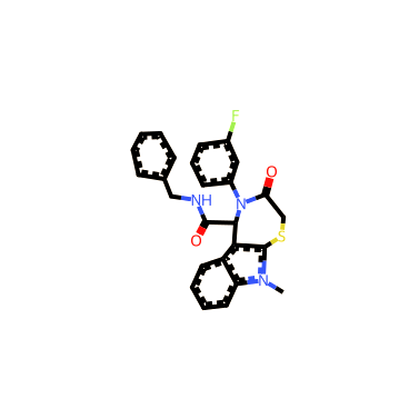 Cn1c2c(c3ccccc31)C(C(=O)NCc1ccccc1)N(c1cccc(F)c1)C(=O)CS2